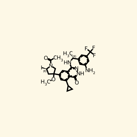 COC1(c2cc(C3CC3)c3c(=O)[nH]nc(N[C@H](C)c4cc(N)cc(C(F)(F)F)c4)c3c2)C[C@@H](I)N(C(C)=O)C1